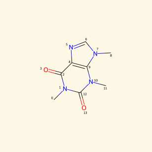 Cn1c(=O)c2ncn(C)c2n(C)c1=O